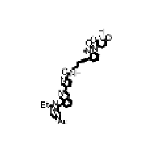 CCc1nc(-c2cccc3cc(-c4ccc(C(=O)NCCCC#Cc5cccc6c5n(C)c(=O)n6C5CCC(=O)NC5=O)nc4)ncc23)c2n1CCN(C(C)=O)C2